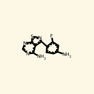 Nc1ccc(-c2nsc3ncnc(N)c23)c(F)c1